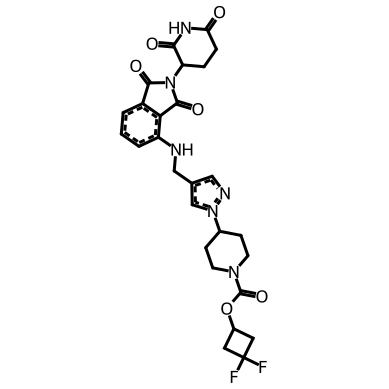 O=C1CCC(N2C(=O)c3cccc(NCc4cnn(C5CCN(C(=O)OC6CC(F)(F)C6)CC5)c4)c3C2=O)C(=O)N1